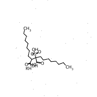 CCCCCCCCC(C(=O)O)C(CCCCCCCC)(C(=O)O)S(=O)(=O)O.[KH]